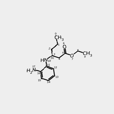 CCC[C@@H](CC(=O)OCC)Nc1ccccc1N